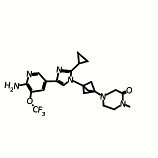 CN1CCN(C23CC(n4cc(-c5cnc(N)c(OC(F)(F)F)c5)nc4C4CC4)(C2)C3)CC1=O